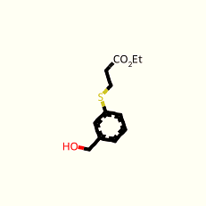 CCOC(=O)CCSc1cccc(CO)c1